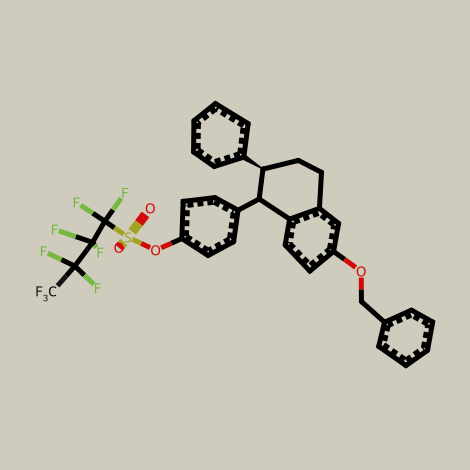 O=S(=O)(Oc1ccc(C2c3ccc(OCc4ccccc4)cc3CC[C@@H]2c2ccccc2)cc1)C(F)(F)C(F)(F)C(F)(F)C(F)(F)F